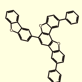 c1ccc(-c2ccc3oc4c(cc(-c5ccc6oc7ccccc7c6c5)c5oc6ccc(-c7ccccc7)cc6c54)c3c2)cc1